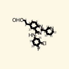 O=CCCc1ccc2nc(-c3cccnc3)nc(Nc3ccc(F)c(Cl)c3)c2c1